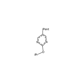 CCCC(C)c1cnc(OC(C)C)nc1